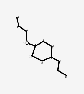 CCCOC1CCC(CCC)CC1